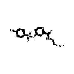 COCCNC(=O)c1cc(NS(=O)(=O)c2ccc(Cl)cc2)ccn1